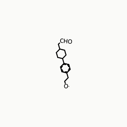 [O]CCc1ccc(C2CCC(CC=O)CC2)cc1